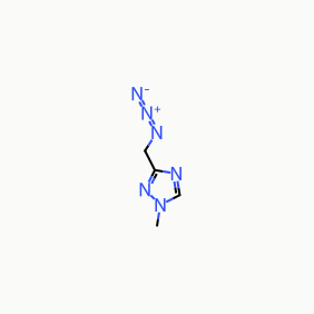 Cn1cnc(CN=[N+]=[N-])n1